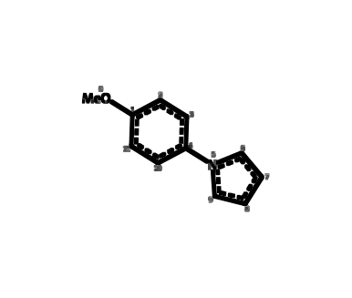 COc1ccc(-n2cccc2)cc1